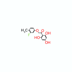 Cc1ccc(OCC(=O)c2c(O)cc(O)cc2O)cc1F